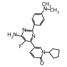 CN(C)c1ccc(-c2nc(N)c(F)c(-c3ccc(=O)n(C4CCCC4)c3)n2)cc1